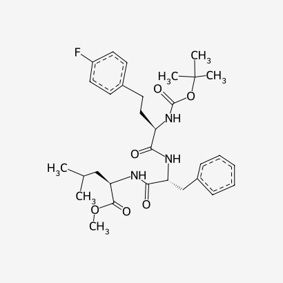 COC(=O)[C@@H](CC(C)C)NC(=O)[C@@H](Cc1ccccc1)NC(=O)[C@@H](CCc1ccc(F)cc1)NC(=O)OC(C)(C)C